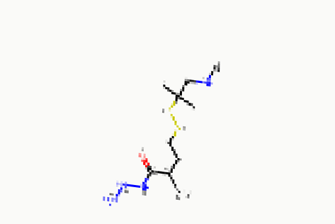 CCNCC(C)(C)SSCCC(C(=O)NNN)S(=O)(=O)O